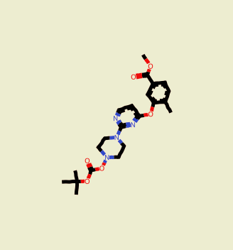 COC(=O)c1ccc(C)c(Oc2ccnc(N3CCN(OC(=O)OC(C)(C)C)CC3)n2)c1